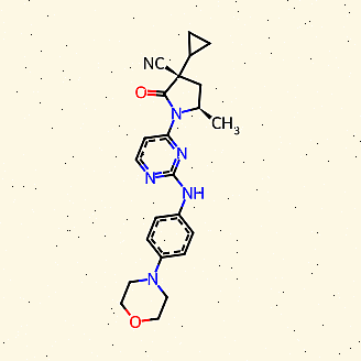 C[C@@H]1C[C@@](C#N)(C2CC2)C(=O)N1c1ccnc(Nc2ccc(N3CCOCC3)cc2)n1